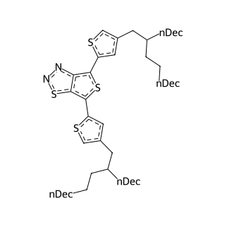 CCCCCCCCCCCCC(CCCCCCCCCC)Cc1csc(-c2sc(-c3cc(CC(CCCCCCCCCC)CCCCCCCCCCCC)cs3)c3snnc23)c1